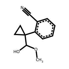 COC(O)C1(c2ccccc2C#N)CC1